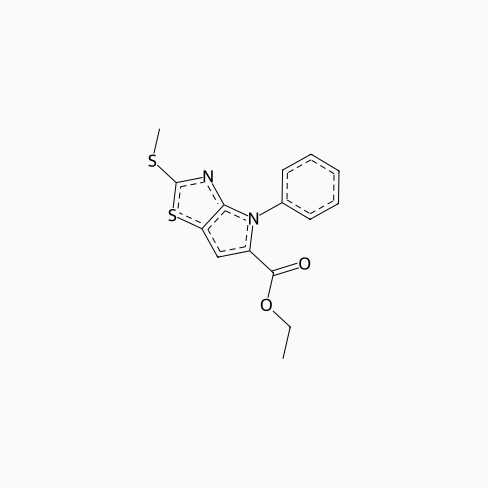 CCOC(=O)c1cc2sc(SC)nc2n1-c1ccccc1